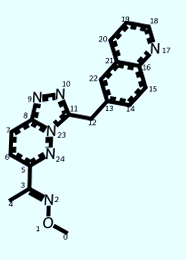 CON=C(C)c1ccc2nnc(Cc3ccc4ncccc4c3)n2n1